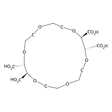 O=C(O)[C@@H]1OCCOCCO[C@@H](C(=O)O)[C@H](C(=O)O)OCCOCCO[C@H]1C(=O)O